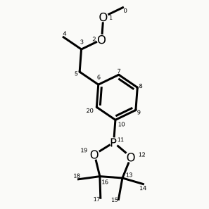 COOC(C)Cc1cccc(P2OC(C)(C)C(C)(C)O2)c1